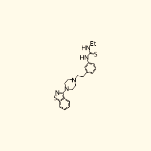 CCNC(=S)Nc1cccc(CCN2CCN(c3nsc4ccccc34)CC2)c1